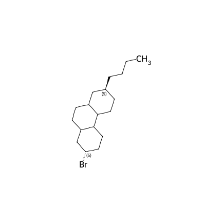 CCCC[C@H]1CCC2C(CCC3C[C@@H](Br)CCC32)C1